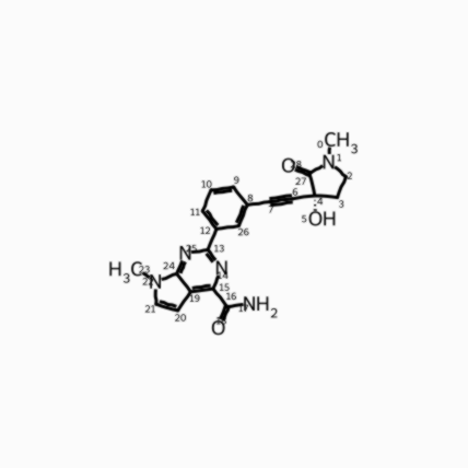 CN1CC[C@@](O)(C#Cc2cccc(-c3nc(C(N)=O)c4ccn(C)c4n3)c2)C1=O